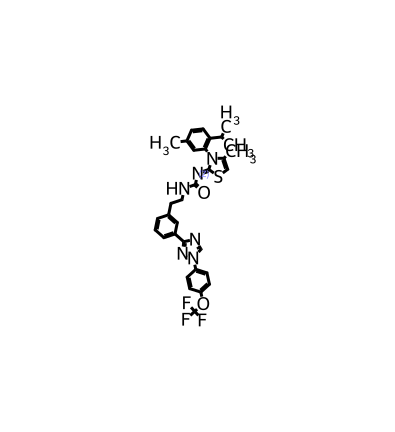 Cc1ccc(C(C)C)c(-n2c(C)cs/c2=N\C(=O)NCCc2cccc(-c3ncn(-c4ccc(OC(F)(F)F)cc4)n3)c2)c1